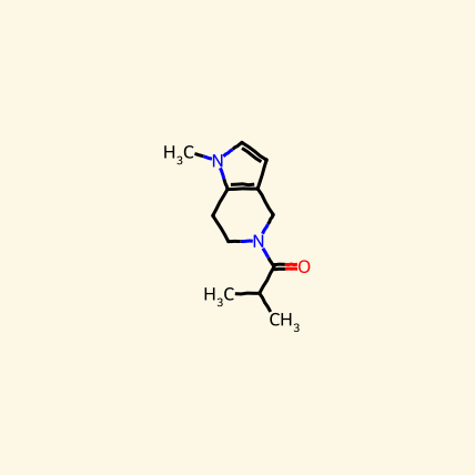 CC(C)C(=O)N1CCc2c(ccn2C)C1